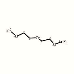 CCCOCCOCCOC(C)C